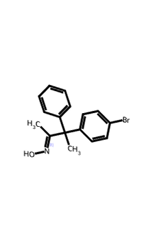 C/C(=N\O)C(C)(c1ccccc1)c1ccc(Br)cc1